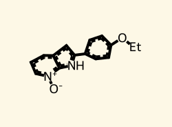 CCOc1ccc(-c2cc3ccc[n+]([O-])c3[nH]2)cc1